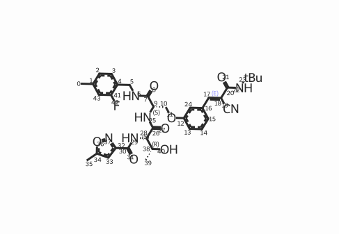 Cc1ccc(CNC(=O)[C@H](COc2cccc(/C=C(\C#N)C(=O)NC(C)(C)C)c2)NC(=O)[C@@H](NC(=O)c2cc(C)on2)[C@@H](C)O)c(F)c1